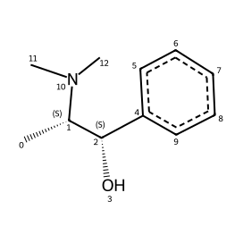 C[C@@H]([C@@H](O)c1ccccc1)N(C)C